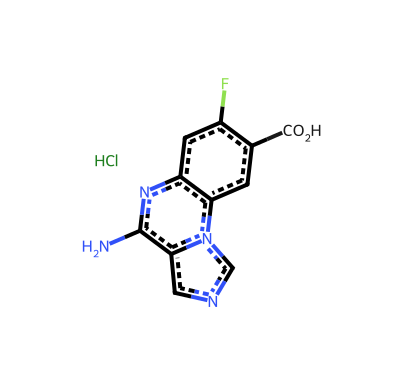 Cl.Nc1nc2cc(F)c(C(=O)O)cc2n2cncc12